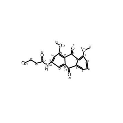 COc1cccc2c1C(=O)c1c(OC)cc(NC(=O)CCCl)cc1C2=O